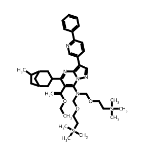 C=C(OCC)c1c(C2CC3CC(C)C(C3)C2)nc2c(-c3ccc(-c4ccccc4)nc3)cnn2c1N(COCC[Si](C)(C)C)COCC[Si](C)(C)C